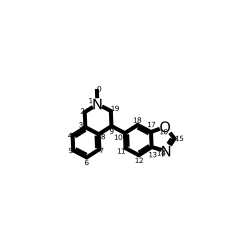 CN1Cc2ccccc2C(c2ccc3ncoc3c2)C1